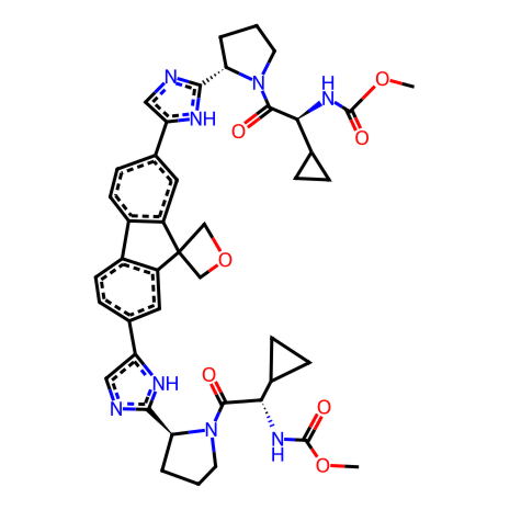 COC(=O)N[C@H](C(=O)N1CCC[C@H]1c1ncc(-c2ccc3c(c2)C2(COC2)c2cc(-c4cnc([C@@H]5CCCN5C(=O)[C@@H](NC(=O)OC)C5CC5)[nH]4)ccc2-3)[nH]1)C1CC1